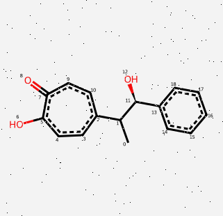 CC(c1ccc(O)c(=O)cc1)[C@@H](O)c1ccccc1